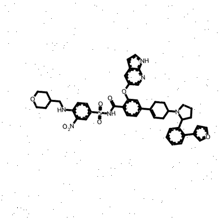 O=C(NS(=O)(=O)c1ccc(NCC2CCOCC2)c([N+](=O)[O-])c1)c1ccc(C2=CCC(N3CCCC3c3ccccc3-c3ccoc3)CC2)cc1Oc1cnc2[nH]ccc2c1